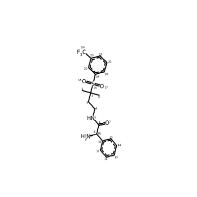 CC(C)(CCNC(=O)[C@H](N)c1ccccc1)S(=O)(=O)c1cccc(C(F)(F)F)c1